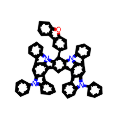 c1ccc(-n2c3ccccc3c3c4c5cc6c7c8c9ccccc9n(-c9ccccc9)c8cc8c9ccccc9n(c6c(-c6ccc9oc%10ccccc%10c9c6)c5n5c6ccccc6c(cc32)c45)c87)cc1